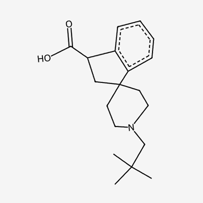 CC(C)(C)CN1CCC2(CC1)CC(C(=O)O)c1ccccc12